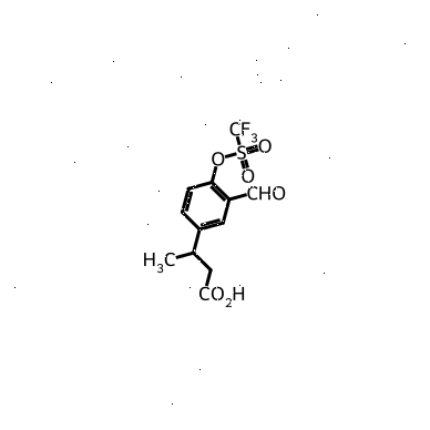 CC(CC(=O)O)c1ccc(OS(=O)(=O)C(F)(F)F)c(C=O)c1